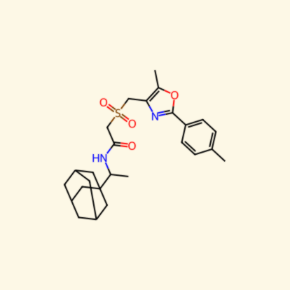 Cc1ccc(-c2nc(CS(=O)(=O)CC(=O)NC(C)C34CC5CC(CC(C5)C3)C4)c(C)o2)cc1